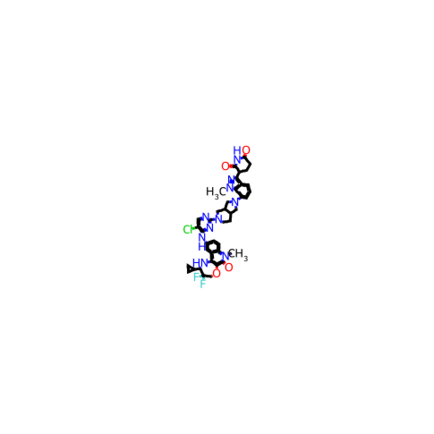 Cn1nc(C2CCC(=O)NC2=O)c2cccc(N3CC4CCN(c5ncc(Cl)c(Nc6ccc7c(c6)c6c(c(=O)n7C)OCC(F)(F)C(C7CC7)N6)n5)CC4C3)c21